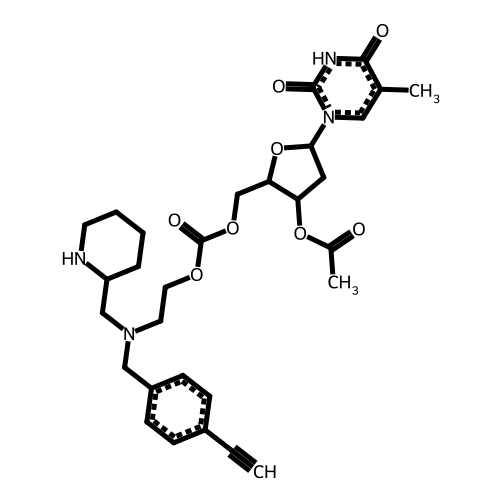 C#Cc1ccc(CN(CCOC(=O)OCC2OC(n3cc(C)c(=O)[nH]c3=O)CC2OC(C)=O)CC2CCCCN2)cc1